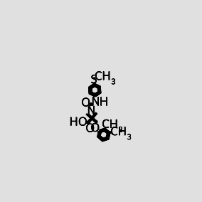 CSc1ccc(NC(=O)N2CC(COc3cccc(C)c3C)(C(=O)O)C2)cc1